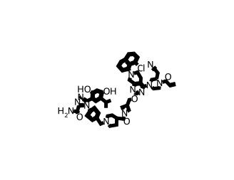 C=CC(=O)N1CCN(c2nc(OCC3CN(C(=O)C4CCN(Cc5ccc(-n6c(C(N)=O)nnc6-c6cc(C(C)C)c(O)cc6O)cc5)CC4)C3)nc3c2CCN(c2cccc4cccc(Cl)c24)C3)CC1CC#N